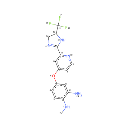 CNc1ccc(Oc2ccnc(C3=NCC(C(F)(F)F)N3)c2)cc1N